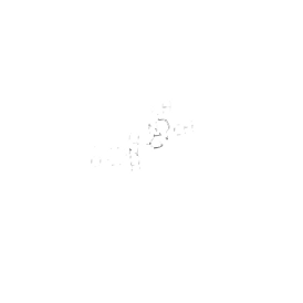 Cc1cc(C)n2ccc(C(=O)NC3CCC(OC4CCCC4)CC3)c2n1